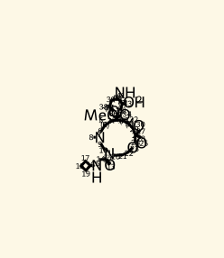 CO[C@]1(C)C[C@@H](C)CN(C)CCN(C(=O)CNC2CCC2)CCCOC(=O)C(C)(C)C(=O)[C@H](C)[C@H]1O[C@@H]1O[C@H](C)C[C@H](N)[C@H]1O